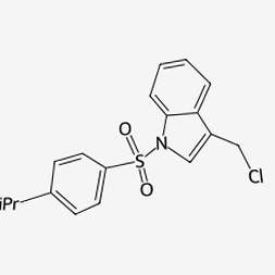 CC(C)c1ccc(S(=O)(=O)n2cc(CCl)c3ccccc32)cc1